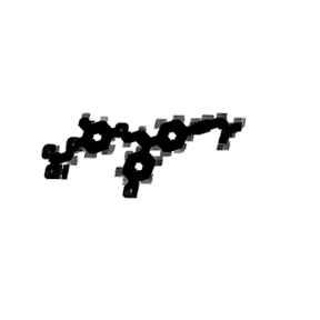 Cc1cc(OC/C=C(\c2ccc(Cl)cc2)c2ccc(C#CCN(C)C)cc2)ccc1OCC(=O)O